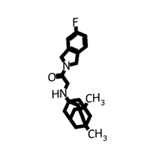 CC12CC3CC(C)(C1)CC(NCC(=O)N1Cc4ccc(F)cc4C1)(C3)C2